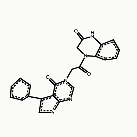 O=C1CN(C(=O)Cn2cnc3scc(-c4ccccc4)c3c2=O)c2ccccc2N1